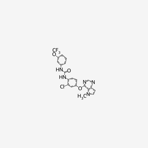 Cn1ccc2ncnc(Oc3ccc(NC(=O)Nc4cccc(OC(F)(F)F)c4)c(Cl)c3)c21